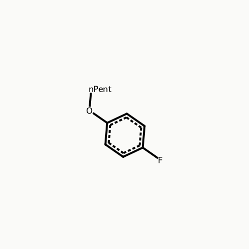 CCCCCOc1ccc(F)cc1